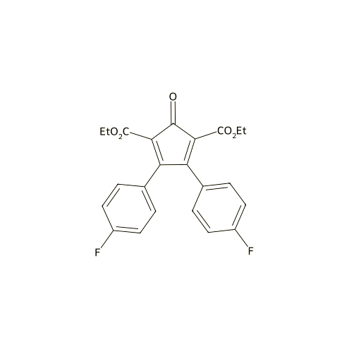 CCOC(=O)C1=C(c2ccc(F)cc2)C(c2ccc(F)cc2)=C(C(=O)OCC)C1=O